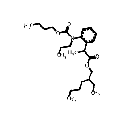 CCCCOC(=O)N(CCC)c1ccccc1C(C)C(=O)OCC(CC)CCCC